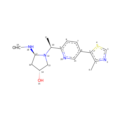 Cc1ncsc1-c1ccc([C@H](C)N2C[C@H](O)C[C@H]2NC=O)nc1